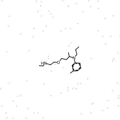 CCCN(c1cccc(C)c1)C(C)CCOCCNCC